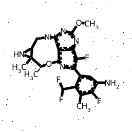 COc1nc2c3c(nc(-c4cc(N)c(F)c(C)c4C(F)F)c(F)c3n1)O[C@H](C)C1(C)NC1CN2